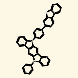 c1ccc(-n2c3ccccc3c3cc4c(cc32)c2ccccc2n4-c2ccc(-c3ccc4c(c3)sc3ccccc34)cc2)cc1